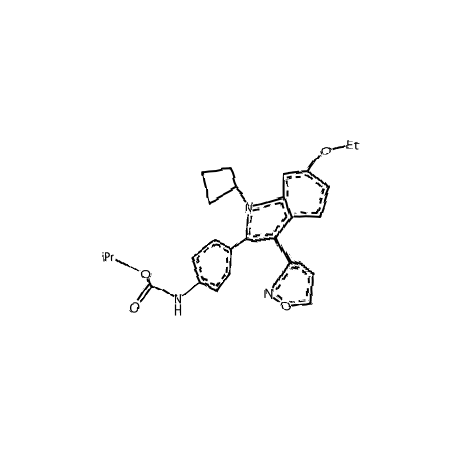 CCOc1ccc2c(-c3ccon3)c(-c3ccc(NC(=O)OC(C)C)cc3)n(C3CCC3)c2c1